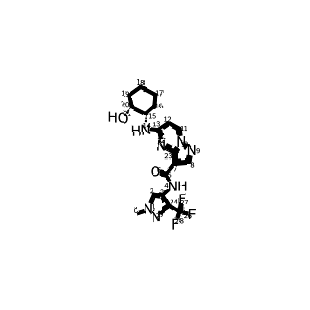 Cn1cc(NC(=O)c2cnn3ccc(N[C@H]4CCCC[C@H]4O)nc23)c(C(F)(F)F)n1